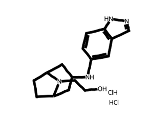 Cl.Cl.OCCN1C2CCC1CC(Nc1ccc3[nH]ncc3c1)C2